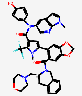 Cn1c(-c2cc3c(cc2C(=O)N2Cc4ccccc4C[C@H]2CN2CCOCC2)OCO3)cc(C(=O)N(c2ccc(O)cc2)c2cnc3c(ccn3C)c2)c1C(F)(F)F